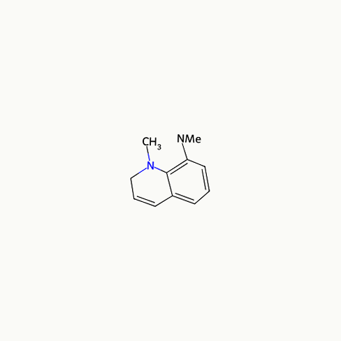 CNc1cccc2c1N(C)CC=C2